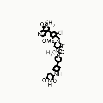 COc1cc(-c2cn(C)c(=O)c3cnccc23)cc(Cl)c1CN1CCC(N(C)C(=O)N2CCC(c3ccc(NC4CCC(=O)NC4=O)cc3)CC2)C(F)(F)C1